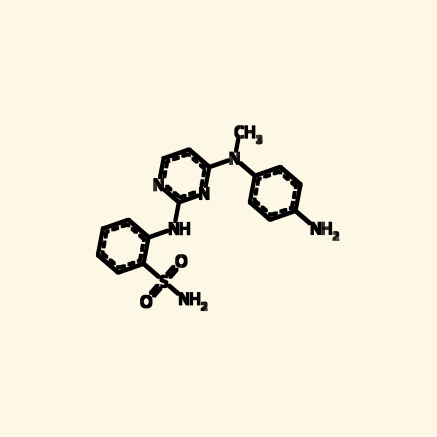 CN(c1ccc(N)cc1)c1ccnc(Nc2ccccc2S(N)(=O)=O)n1